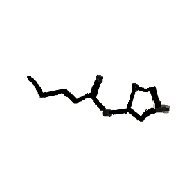 CCCCC(=O)OC1CNCO1